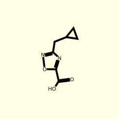 O=C(O)c1nc(CC2CC2)no1